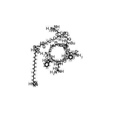 CCCC[C@H](NC(=O)[C@H](CO)NC(=O)[C@H](CCCNC(=N)N)NC(=O)COCCOCCNC(=O)CCCS(=O)(=O)NC(=O)CCCCCCCCCCCCCCCc1nnn[nH]1)C(=O)N[C@H]1CCC(=O)NCCCC[C@@H](C(N)=O)NC(=O)[C@H](Cc2c[nH]c3ccccc23)NC(=O)[C@H](CCCNC(=N)N)NC(=O)[C@@H](Cc2ccccc2)NC(=O)[C@H](CCCNC(N)=O)NC1=O